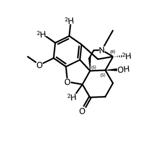 [2H]c1c([2H])c(OC)c2c3c1C[C@@]1([2H])N(C)CC[C@@]34C([2H])(O2)C(=O)CC[C@@]14O